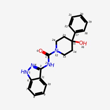 O=C(Nc1n[nH]c2ccccc12)N1CCC(O)(c2ccccc2)CC1